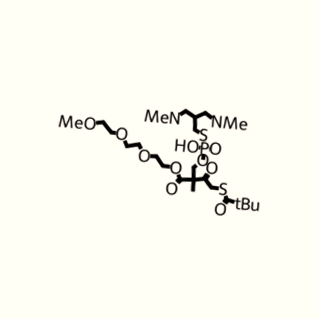 CNCC(CNC)CSP(=O)(O)OCC(C)(C(=O)CSC(=O)C(C)(C)C)C(=O)OCCOCCOCCOC